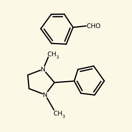 CN1CCN(C)C1c1ccccc1.O=Cc1ccccc1